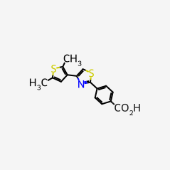 Cc1cc(-c2csc(-c3ccc(C(=O)O)cc3)n2)c(C)s1